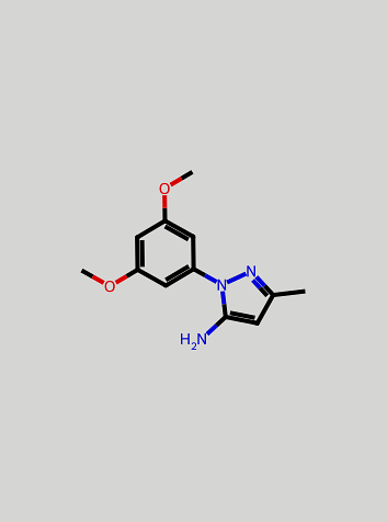 COc1cc(OC)cc(-n2nc(C)cc2N)c1